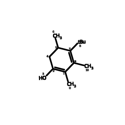 CC1=C(O)CC(C)C(C(C)(C)C)=C1C